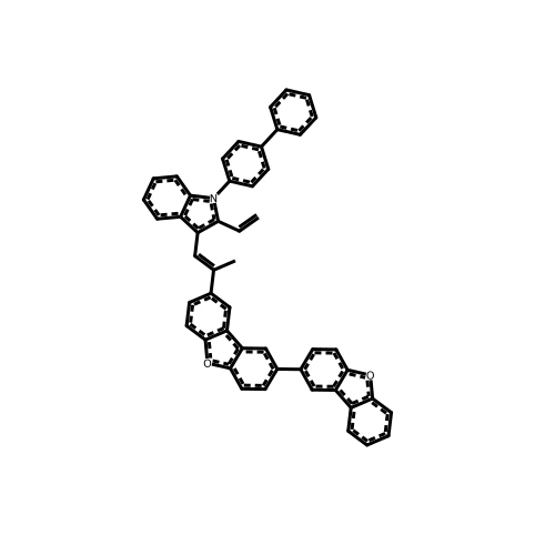 C=Cc1c(/C=C(\C)c2ccc3oc4ccc(-c5ccc6oc7ccccc7c6c5)cc4c3c2)c2ccccc2n1-c1ccc(-c2ccccc2)cc1